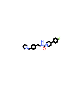 O=C(NCCc1ccc(CN2CCCC2)cc1)N1CCC(c2ccc(F)cc2)CC1